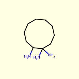 NC1CCCCCCCCC1(N)N